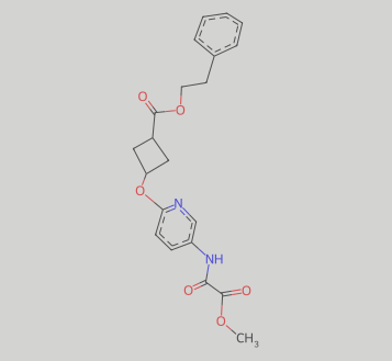 COC(=O)C(=O)Nc1ccc(OC2CC(C(=O)OCCc3ccccc3)C2)nc1